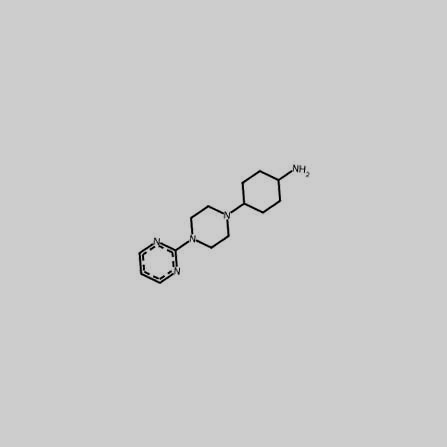 NC1CCC(N2CCN(c3ncccn3)CC2)CC1